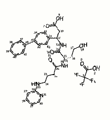 O=C(O)C(F)(F)F.O=C(O)CC(NC(=O)[C@H](CCO)NC(=O)CCCNc1ccccn1)c1ccc(-c2ccccc2)cc1